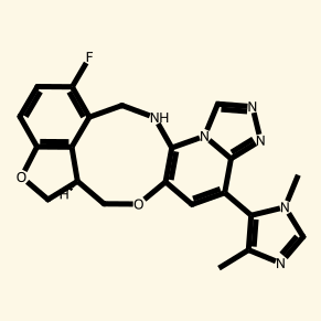 Cc1ncn(C)c1-c1cc2c(n3cnnc13)NCc1c(F)ccc3c1[C@H](CO3)CO2